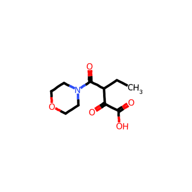 CCC(C(=O)C(=O)O)C(=O)N1CCOCC1